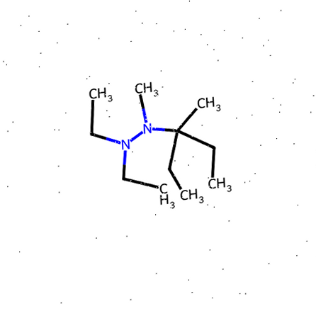 CCN(CC)N(C)C(C)(CC)CC